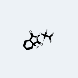 O=C1C2C=CC=CC2(Br)C(=O)N1OC(F)(F)C(F)F